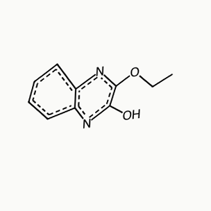 CCOc1nc2ccccc2nc1O